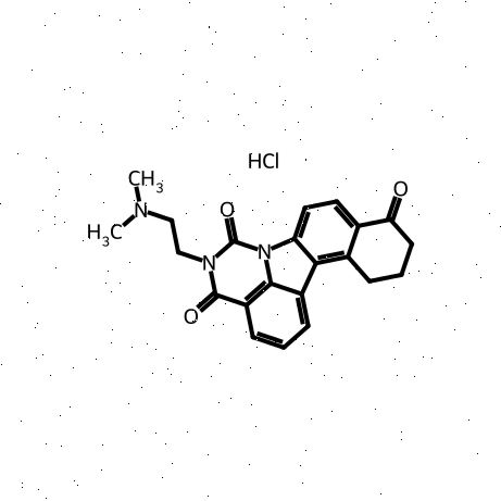 CN(C)CCn1c(=O)c2cccc3c4c5c(ccc4n(c1=O)c23)C(=O)CCC5.Cl